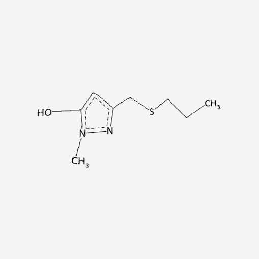 CCCSCc1cc(O)n(C)n1